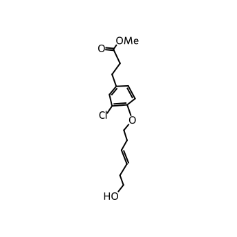 COC(=O)CCc1ccc(OCC/C=C/CCO)c(Cl)c1